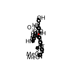 COc1cc(CN2CCN(C3CC4(CCN(c5ccc(C(=O)NS(=O)(=O)c6ccc(NCC7CCC(C)(O)CC7)c([N+](=O)[O-])c6)c(N6c7cc8cc[nH]c8nc7O[C@H]7COCC[C@@H]76)c5)CC4)C3)[C@@H](c3sccc3C(C)C)C2)cnc1OC